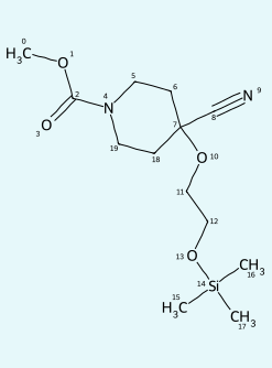 COC(=O)N1CCC(C#N)(OCCO[Si](C)(C)C)CC1